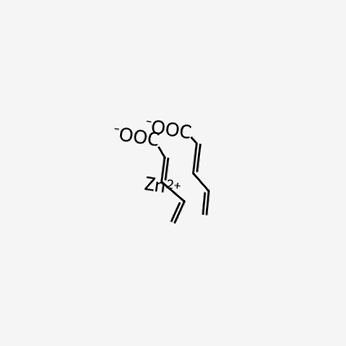 C=CC=CC(=O)[O-].C=CC=CC(=O)[O-].[Zn+2]